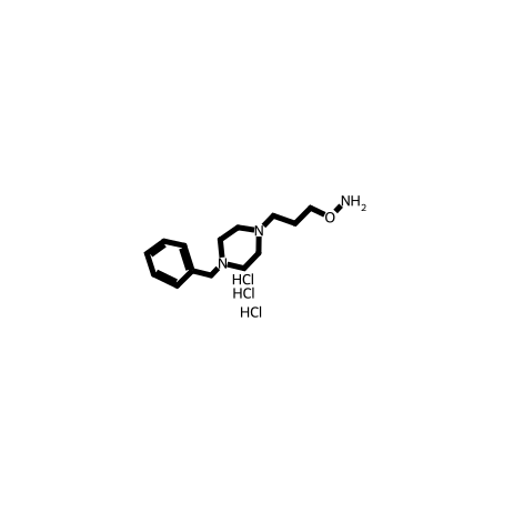 Cl.Cl.Cl.NOCCCN1CCN(Cc2ccccc2)CC1